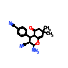 CC1(C)C=C2OC(N)C(C#N)C(c3ccc(C#N)cc3)C2C(=O)C1